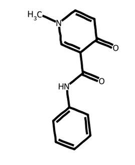 Cn1ccc(=O)c(C(=O)Nc2ccccc2)c1